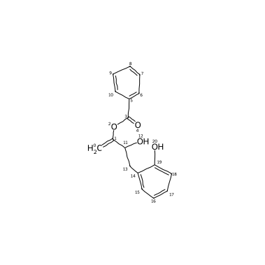 C=C(OC(=O)c1ccccc1)C(O)Cc1ccccc1O